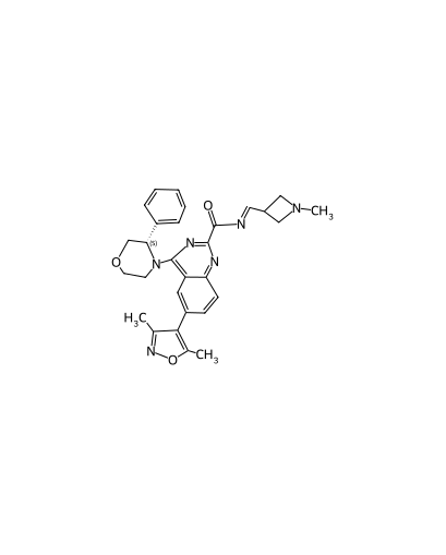 Cc1noc(C)c1-c1ccc2nc(C(=O)N=CC3CN(C)C3)nc(N3CCOC[C@@H]3c3ccccc3)c2c1